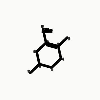 CSC1=C(C)CCC(C)C1